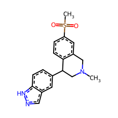 CN1Cc2cc(S(C)(=O)=O)ccc2C(c2ccc3[nH]ncc3c2)C1